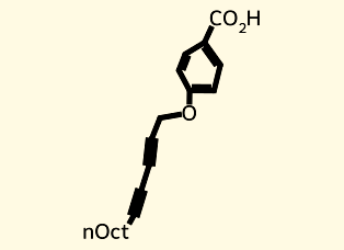 CCCCCCCCC#CC#CCOc1ccc(C(=O)O)cc1